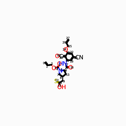 C=CCOC(=O)N1C[C@H](CC(O)=S)C[C@H]1C(=O)NC1C=C(C#N)C=C(OCC=C)C1=C=O